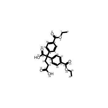 CCOC(=O)c1ccc(C(CCC(=O)O)(C(=O)O)c2ccc(C(=O)OCC)cc2)cc1